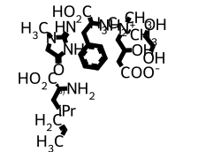 C=CC.CC(C)C[C@H](N)C(=O)O.CN1CC(=O)NC1=N.C[N+](C)(C)CC(O)CC(=O)[O-].NC(Cc1ccccc1)C(=O)O.OCCO